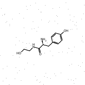 N[C@@H](Cc1ccc(O)cc1)C(=O)NCCO